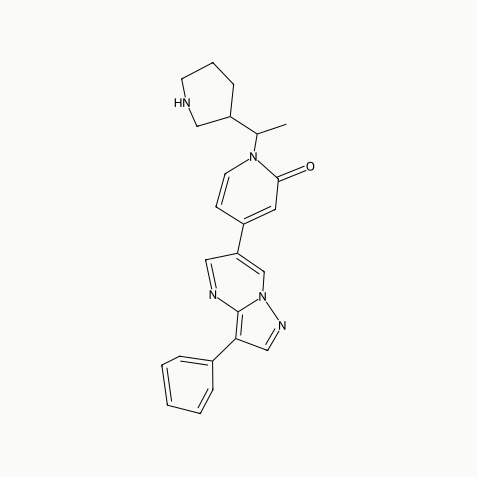 CC(C1CCCNC1)n1ccc(-c2cnc3c(-c4ccccc4)cnn3c2)cc1=O